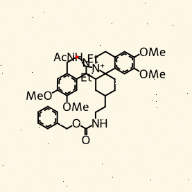 CCN1CCc2cc(OC)c(OC)cc2C1C1CC(CCNC(=O)OCc2ccccc2)CCC12c1cc(OC)c(OC)cc1CC[N+]2(CC)CNC(C)=O